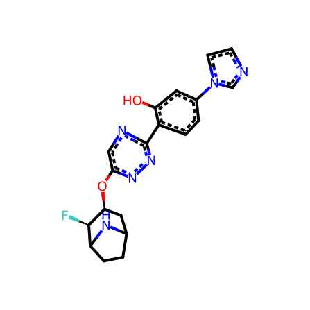 Oc1cc(-n2ccnc2)ccc1-c1ncc(O[C@H]2CC3CCC(N3)[C@H]2F)nn1